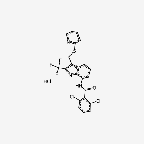 Cl.O=C(Nc1cccn2c(CSc3ccccn3)c(C(F)(F)F)nc12)c1c(Cl)cccc1Cl